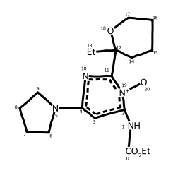 CCOC(=O)Nc1cc(N2CCCC2)nc(C2(CC)CCCCO2)[n+]1[O-]